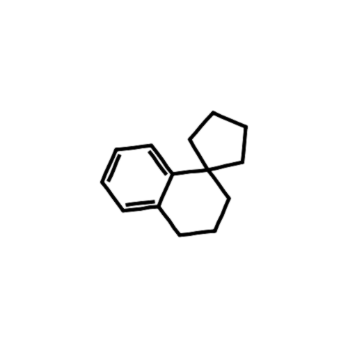 c1ccc2c(c1)CCCC21CCCC1